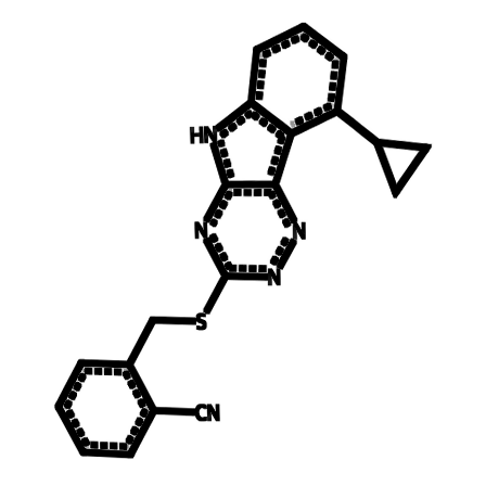 N#Cc1ccccc1CSc1nnc2c(n1)[nH]c1cccc(C3CC3)c12